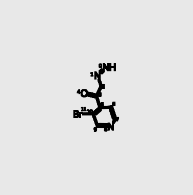 N=NCC(=O)c1ccncc1Br